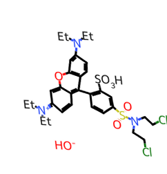 CCN(CC)c1ccc2c(-c3ccc(S(=O)(=O)N(CCCl)CCCl)cc3S(=O)(=O)O)c3ccc(=[N+](CC)CC)cc-3oc2c1.[OH-]